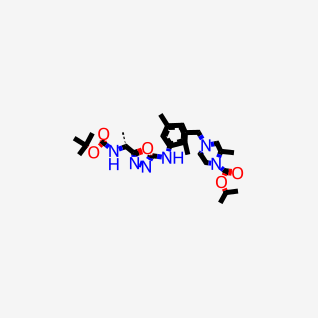 Cc1cc(CN2CCN(C(=O)OC(C)C)C(C)C2)c(C)c(Nc2nnc([C@@H](C)NC(=O)OC(C)(C)C)o2)c1